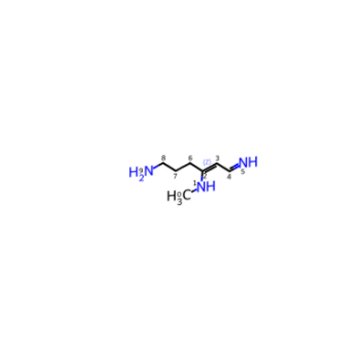 CN/C(=C\C=N)CCCN